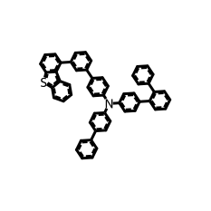 c1ccc(-c2ccc(N(c3ccc(-c4cccc(-c5cccc6sc7ccccc7c56)c4)cc3)c3ccc(-c4ccccc4-c4ccccc4)cc3)cc2)cc1